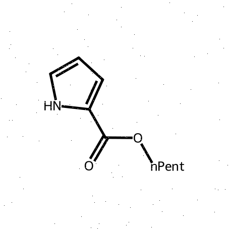 CCCCCOC(=O)c1ccc[nH]1